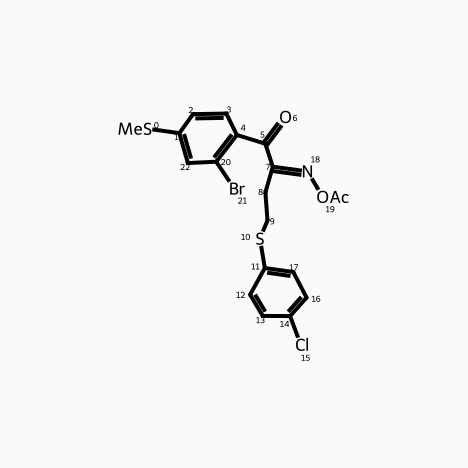 CSc1ccc(C(=O)/C(CCSc2ccc(Cl)cc2)=N/OC(C)=O)c(Br)c1